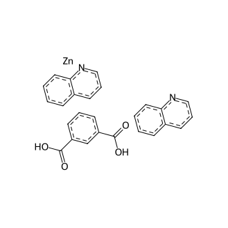 O=C(O)c1cccc(C(=O)O)c1.[Zn].c1ccc2ncccc2c1.c1ccc2ncccc2c1